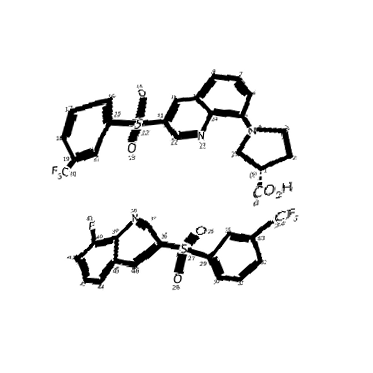 O=C(O)[C@H]1CCN(c2cccc3cc(S(=O)(=O)c4cccc(C(F)(F)F)c4)cnc23)C1.O=S(=O)(c1cccc(C(F)(F)F)c1)c1cnc2c(F)cccc2c1